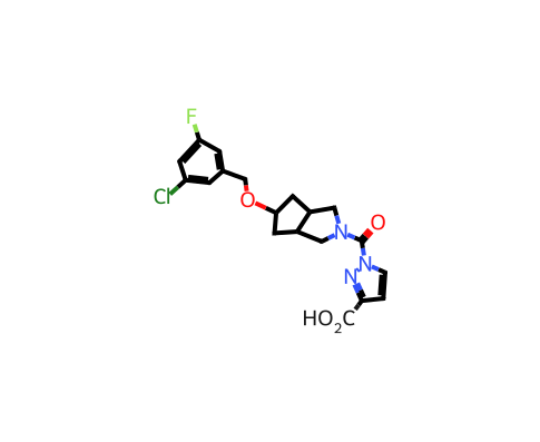 O=C(O)c1ccn(C(=O)N2CC3CC(OCc4cc(F)cc(Cl)c4)CC3C2)n1